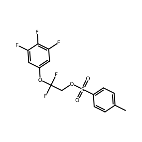 Cc1ccc(S(=O)(=O)OCC(F)(F)Oc2cc(F)c(F)c(F)c2)cc1